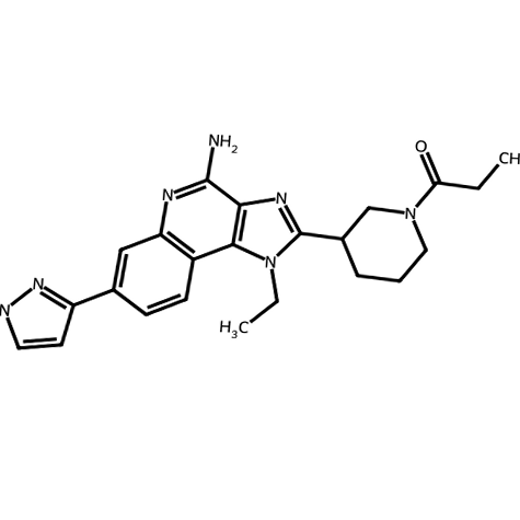 CCC(=O)N1CCCC(c2nc3c(N)nc4cc(-c5cc[nH]n5)ccc4c3n2CC)C1